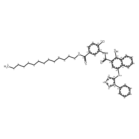 CCCCCCCCCCCCCCOC(=O)c1ccc(Cl)c(NC(=O)c2cc(Sc3nnnn3-c3ccccc3)c3ccccc3c2O)c1